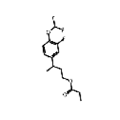 CCC(=O)OCCC(C)c1ccc(OC(F)F)c(F)c1